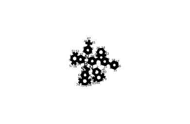 C[C@H]1CC(N2c3cc(C4c5ccc(-c6ccccc6)cc5C5(C)CCCCC45C)cc4c3B(c3cc5c(cc3N4c3ccc(C(C)(C)C)cc3)C(C)(C)CCC5(C)C)c3sc4cc5c(cc4c32)C(C)(C)CCC5(C)C)=CC2C1C(C)(C)CCC2(C)C